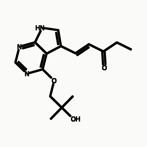 CCC(=O)C=Cc1c[nH]c2ncnc(OCC(C)(C)O)c12